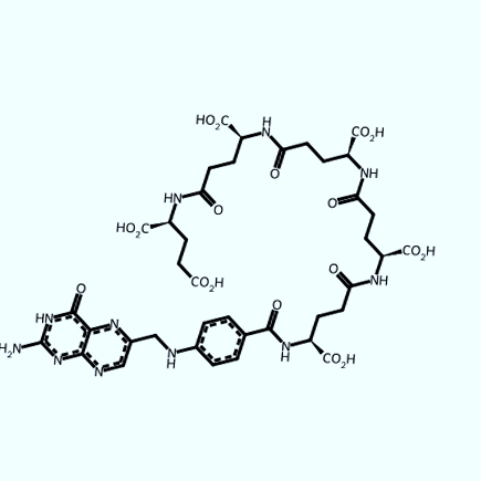 Nc1nc2ncc(CNc3ccc(C(=O)N[C@@H](CCC(=O)N[C@@H](CCC(=O)N[C@@H](CCC(=O)N[C@@H](CCC(=O)N[C@@H](CCC(=O)O)C(=O)O)C(=O)O)C(=O)O)C(=O)O)C(=O)O)cc3)nc2c(=O)[nH]1